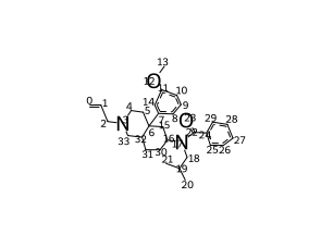 C=CCN1CCC2(c3cccc(OC)c3)CC(N(CC(C)C)C(=O)c3ccccc3)CCC2C1